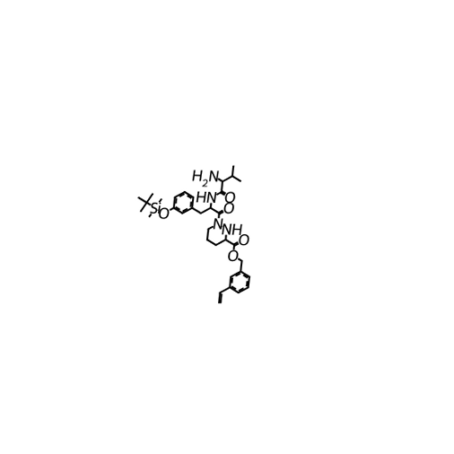 C=Cc1cccc(COC(=O)C2CCCN(C(=O)C(Cc3cccc(O[Si](C)(C)C(C)(C)C)c3)NC(=O)C(N)C(C)C)N2)c1